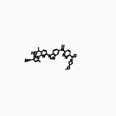 COC1CN(C(=O)c2ccc(Nc3ccc4c(c3)ncn4-c3ccc(C(C)O)c(-n4nc(C#N)cc4C)n3)nn2)C1